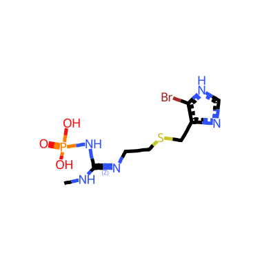 CN/C(=N/CCSCc1nc[nH]c1Br)NP(=O)(O)O